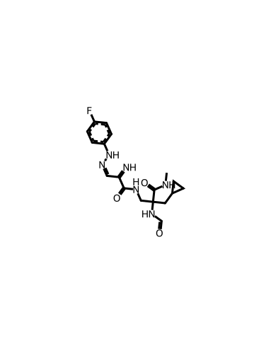 CNC(=O)C(CNC(=O)C(=N)/C=N\Nc1ccc(F)cc1)(CC1CC1)NC=O